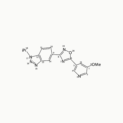 COc1cncc(-c2nc(-c3ccc4c(c3)nnn4C(C)C)no2)c1